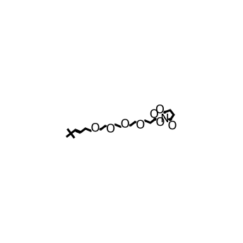 CC(C)(C)/C=C/CCOCCOCCOCCOCCC(=O)ON1C(=O)CCC1=O